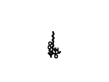 CCCCCCC(=O)CC(=O)Nc1scc(C)c1C(=O)OCC